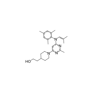 CC(C)=CN(c1cc(N2CCC(CCO)CC2)nc(C)n1)c1c(C)cc(C)cc1C